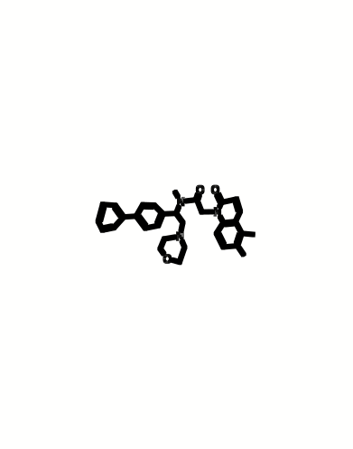 Cc1ccc2c(ccc(=O)n2CC(=O)N(C)C(CN2CCOCC2)c2ccc(-c3ccccc3)cc2)c1C